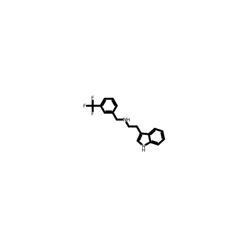 FC(F)(F)c1cccc(CNCCc2c[nH]c3ccccc23)c1